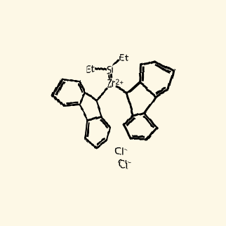 CC[Si](CC)=[Zr+2]([CH]1c2ccccc2-c2ccccc21)[CH]1c2ccccc2-c2ccccc21.[Cl-].[Cl-]